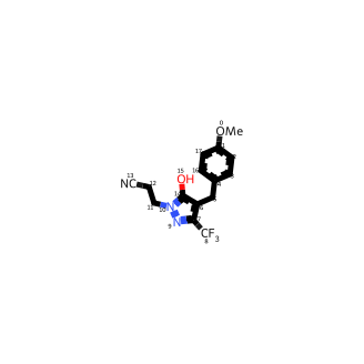 COc1ccc(Cc2c(C(F)(F)F)nn(CCC#N)c2O)cc1